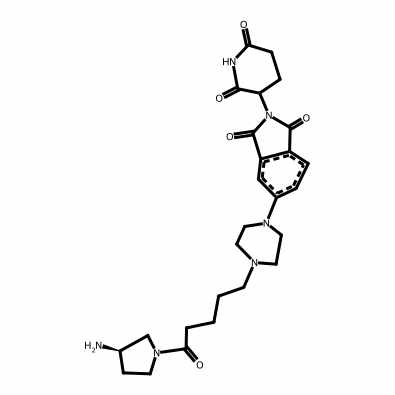 N[C@@H]1CCN(C(=O)CCCCN2CCN(c3ccc4c(c3)C(=O)N(C3CCC(=O)NC3=O)C4=O)CC2)C1